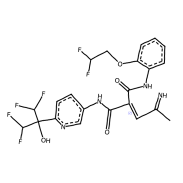 CC(=N)/C=C(/C(=O)Nc1ccc(C(O)(C(F)F)C(F)F)nc1)C(=O)Nc1ccccc1OCC(F)F